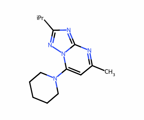 Cc1cc(N2CCCCC2)n2nc(C(C)C)nc2n1